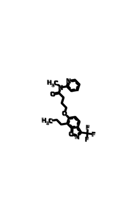 CCCc1c(OCCCC(=O)N(C)c2ccccn2)ccc2c(C(F)(F)F)noc12